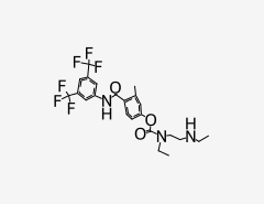 CCNCCN(CC)C(=O)Oc1ccc(C(=O)Nc2cc(C(F)(F)F)cc(C(F)(F)F)c2)c(C)c1